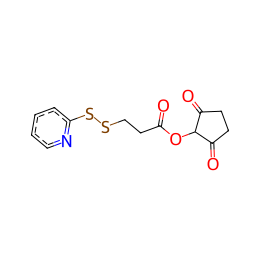 O=C(CCSSc1ccccn1)OC1C(=O)CCC1=O